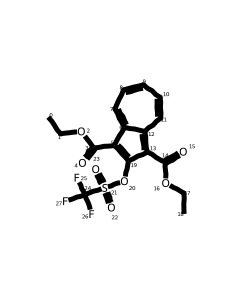 CCOC(=O)c1c2cccccc-2c(C(=O)OCC)c1OS(=O)(=O)C(F)(F)F